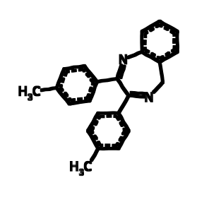 Cc1ccc(C2=NCc3ccccc3N=C2c2ccc(C)cc2)cc1